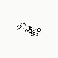 Cc1ccc(N)c(OCCOc2cc(C=O)c(OCc3ccccc3)cc2N)c1